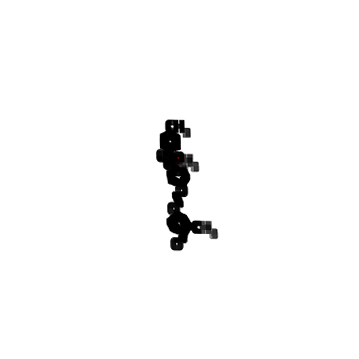 Cc1ccc(S(=O)(=O)O[N+]2(C)CCC(OCCOc3ccc(C=O)c(C)c3)CC2)cc1